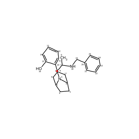 CC(CN1C2CCC1CC(c1ccccc1O)C2)NCc1ccccc1